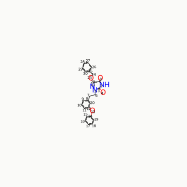 O=c1[nH]c(=O)n(CCc2cccc(Oc3ccccc3)c2)nc1OCc1ccccc1